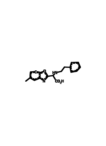 Cc1ccc2oc(C(NCCc3ccccc3)C(=O)O)nc2c1